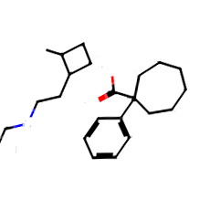 CC1C[C@H](OC(=O)C2(c3ccccc3)CCCCCC2)C1CCNCC(=O)O